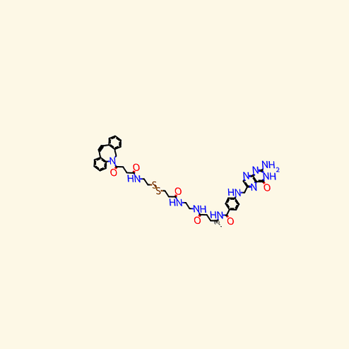 C[C@H](CCC(=O)NCCNC(=O)CCSSCCNC(=O)CCC(=O)N1Cc2ccccc2C#Cc2ccccc21)NC(=O)c1ccc(NCc2cnc3nc(N)[nH]c(=O)c3n2)cc1